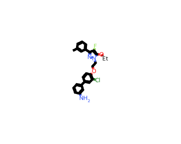 CCOc1c(F)c(-c2cccc(C)c2)nn1CCOc1ccc(-c2cccc(N)c2)cc1Cl